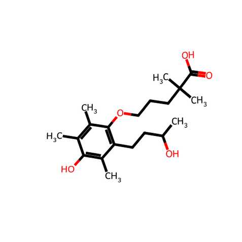 Cc1c(C)c(OCCCC(C)(C)C(=O)O)c(CCC(C)O)c(C)c1O